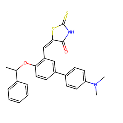 CC(Oc1ccc(-c2ccc(N(C)C)cc2)cc1C=C1SC(=S)NC1=O)c1ccccc1